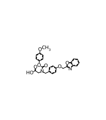 COc1ccc(OC(=O)N(CC(=O)O)Cc2ccc(OCc3nc4ccccc4o3)cc2)cc1